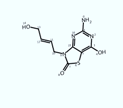 Nc1nc(O)c2sc(=O)n(C/C=C/CO)c2n1